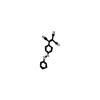 N#CC(C#N)=C(C#N)c1ccc(/N=N/c2ccccc2)cc1